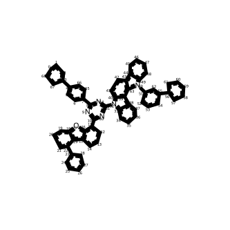 c1ccc(-c2ccc(-c3nc(-c4cccc5c4oc4cccc(-c6ccccc6)c45)nc(-n4c5ccccc5c5c4ccc4c6ccccc6n(-c6cccc(-c7ccccc7)c6)c45)n3)cc2)cc1